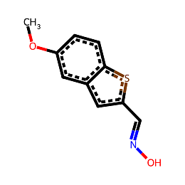 COc1ccc2sc(C=NO)cc2c1